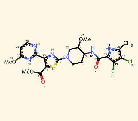 COC(=O)c1sc(N2CCC(NC(=O)c3[nH]c(C)c(Cl)c3Cl)C(OC)C2)nc1-c1nccc(OC)n1